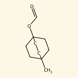 CC12CCC(OC=O)(CC1)CC2